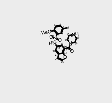 COc1ccc(C)cc1S(=O)(=O)Nc1cc(C(=O)N2CCNCC2)c2occc2c1